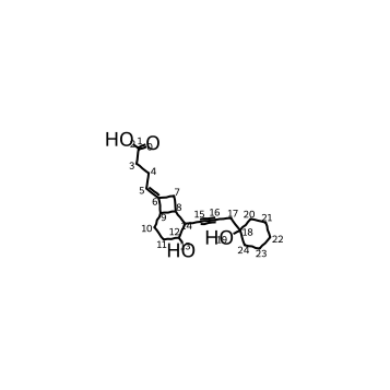 O=C(O)CC/C=C1\CC2C1CCC(O)C2C#CCC1(O)CCCCC1